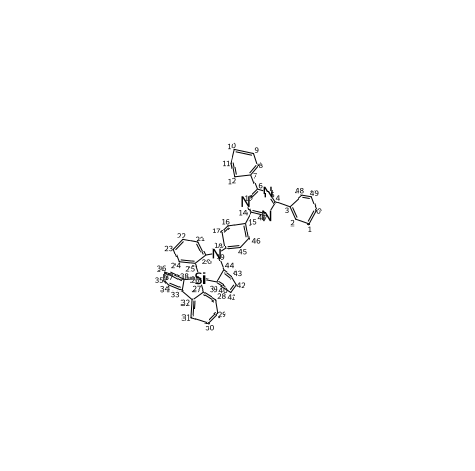 c1ccc(-c2nc(-c3ccccc3)nc(-c3ccc(N4c5ccccc5[Si]5(c6ccccc6-c6ccccc65)c5ccccc54)cc3)n2)cc1